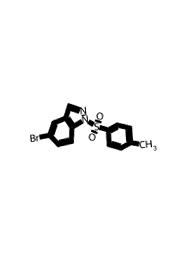 Cc1ccc(S(=O)(=O)n2ncc3cc(Br)ccc32)cc1